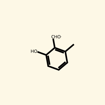 Cc1cccc(O)c1[C]=O